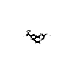 CC1=Nc2c3cc(C(=O)O)nc-3ccn2C1